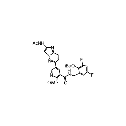 COc1ncc(-c2ccc3nc(NC(C)=O)cn3n2)cc1C(=O)NCc1cc(F)cc(F)c1OCC(C)C